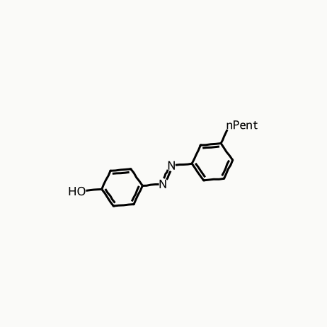 CCCCCc1cccc(/N=N/c2ccc(O)cc2)c1